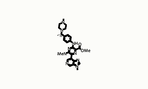 CNc1nc(Nc2ccc([C@H](C)N3CCN(C)CC3)cc2)c(C(=O)OC)nc1-c1cncc2c1ncn2C